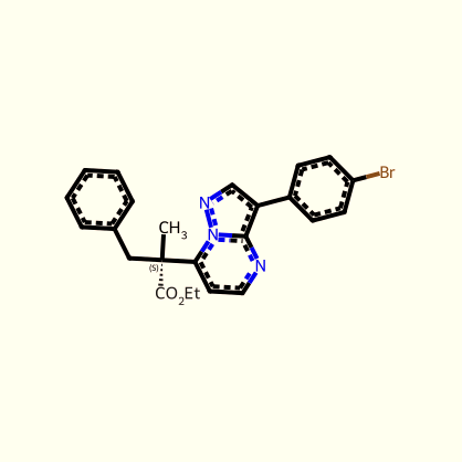 CCOC(=O)[C@@](C)(Cc1ccccc1)c1ccnc2c(-c3ccc(Br)cc3)cnn12